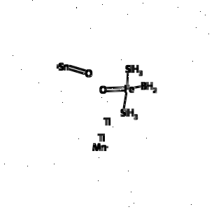 [BH2][Fe](=[O])([SiH3])[SiH3].[Mn].[O]=[Sn].[Ti].[Ti]